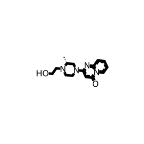 C[C@@H]1CN(c2cc(=O)n3ccccc3n2)CCN1CCO